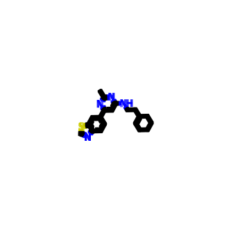 Cc1nc(NCCC2=CCCCC2)cc(-c2ccc3ncsc3c2)n1